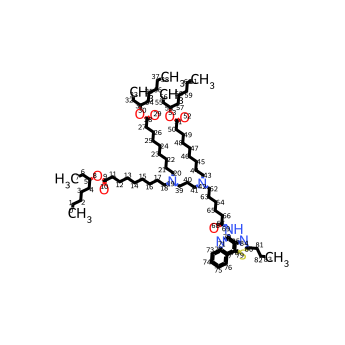 CCCCCC(CC)OC(=O)CCCCCCCCN(CCCCCCCCC(=O)OC(CC)CCCCC)CCCN(CCCCCCCCC(=O)OC(CC)CCCCC)CCCCCC(=O)Nc1nc2ccccc2c2sc(CCC)nc12